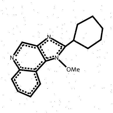 COn1c(C2CCCCC2)nc2cnc3ccccc3c21